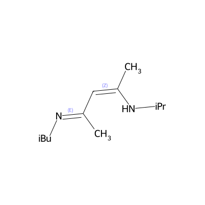 CCC(C)/N=C(C)/C=C(/C)NC(C)C